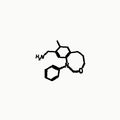 CC1CC2=C(C=C1CN)N(c1ccccc1)COCCC2